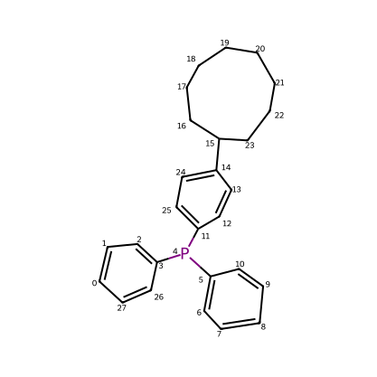 c1ccc(P(c2ccccc2)c2ccc(C3CCCCCCCC3)cc2)cc1